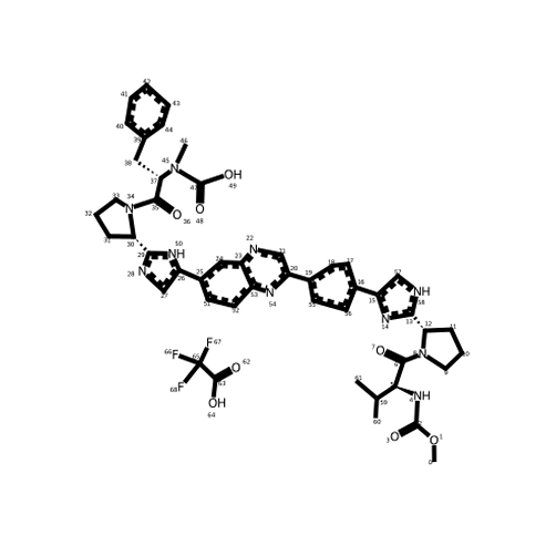 COC(=O)N[C@H](C(=O)N1CCC[C@H]1c1nc(-c2ccc(-c3cnc4cc(-c5cnc([C@@H]6CCCN6C(=O)[C@H](Cc6ccccc6)N(C)C(=O)O)[nH]5)ccc4n3)cc2)c[nH]1)C(C)C.O=C(O)C(F)(F)F